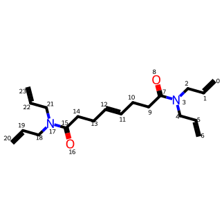 C=CCN(CC=C)C(=O)CC/C=C/CCC(=O)N(CC=C)CC=C